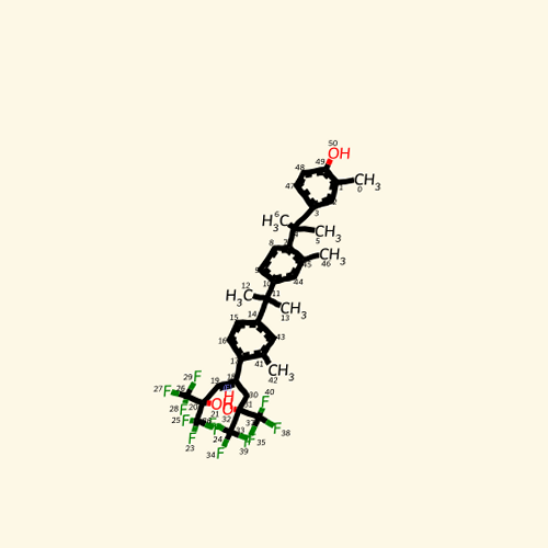 Cc1cc(C(C)(C)c2ccc(C(C)(C)c3ccc(/C(=C/C(O)(C(F)(F)F)C(F)(F)F)CC(O)(C(F)(F)F)C(F)(F)F)c(C)c3)cc2C)ccc1O